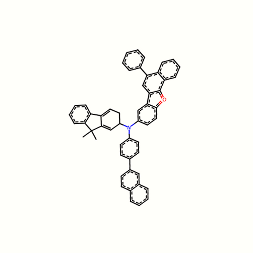 CC1(C)C2=CC(N(c3ccc(-c4ccc5ccccc5c4)cc3)c3ccc4oc5c6ccccc6c(-c6ccccc6)cc5c4c3)CC=C2c2ccccc21